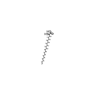 CCCCCCCCCCCCCCCCCCCC(S)C(=O)O